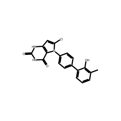 Cc1cccc(-c2ccc(-n3c(Cl)cc4[nH]c(=O)[nH]c(=O)c43)cc2)c1O